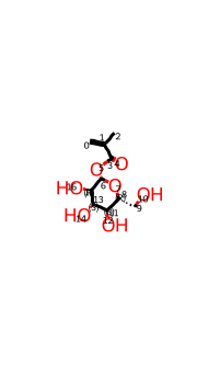 C=C(C)C(=O)OC1O[C@H](CO)[C@@H](O)[C@H](O)[C@H]1O